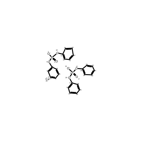 O=P([O-])(Oc1ccccc1)Oc1ccccc1.O=P([O-])(Oc1ccccc1)Oc1ccccc1.[Ca+2]